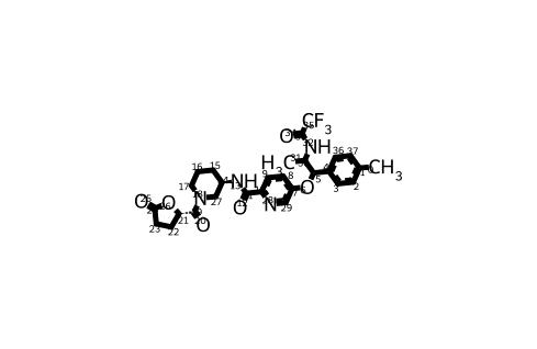 Cc1ccc(C(Oc2ccc(C(=O)N[C@@H]3CCCN(C(=O)[C@@H]4CCC(=O)O4)C3)nc2)C(C)NC(=O)C(F)(F)F)cc1